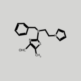 Cc1sc(N(CCn2cccc2)Cc2ccccc2)nc1C=O